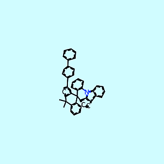 CC1(C)c2ccccc2C2(c3ccccc3-n3c4ccccc4c4cccc2c43)c2cc(-c3ccc(-c4ccccc4)cc3)ccc21